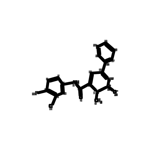 CN1C(C(=O)Nc2ccc(F)c(Cl)c2)=CC(c2cccnc2)=N[S+]1[O-]